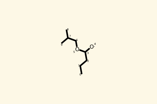 CCCC([O])OCC(C)C